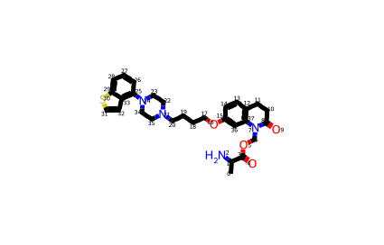 CC(N)C(=O)OCN1C(=O)CCc2ccc(OCCCCN3CCN(c4cccc5sccc45)CC3)cc21